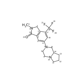 CN1Cc2c(cc(N3CCN4CCCC4C3)cc2C(F)(F)F)C1=O